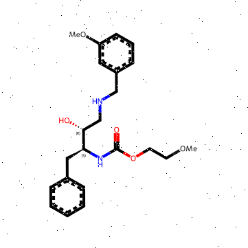 COCCOC(=O)N[C@@H](Cc1ccccc1)[C@H](O)CNCc1cccc(OC)c1